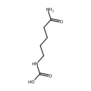 NC(=O)CCCCNC(=O)O